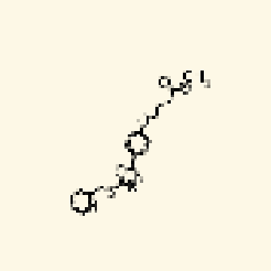 COC(=O)CCCOc1ccc(-c2nnc(SCc3ccccn3)o2)cc1